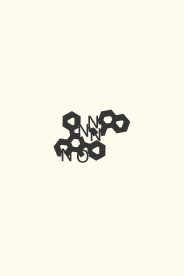 c1ccc2c(c1)ccc1nc(-n3c4ccccc4c4c5cccnc5c5oc6ccccc6c5c43)ncc12